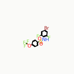 O=S(=O)(Nc1c(F)cc(Br)cc1F)c1ccc(OC(F)(F)F)cc1